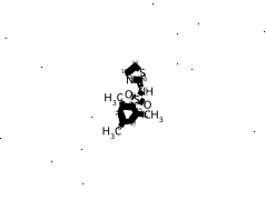 Cc1cc(C)c(S(=O)(=O)Nc2n[c]cs2)c(C)c1